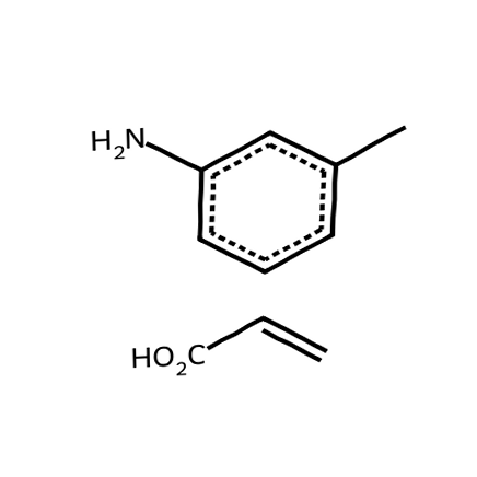 C=CC(=O)O.Cc1cccc(N)c1